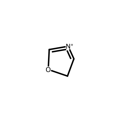 C1=[N+]=COC1